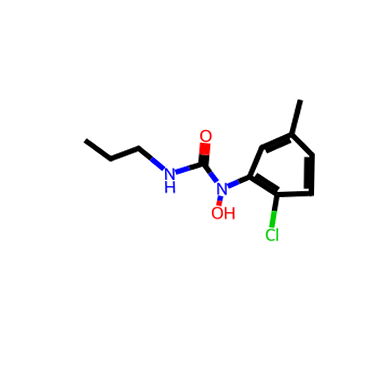 CCCNC(=O)N(O)c1cc(C)ccc1Cl